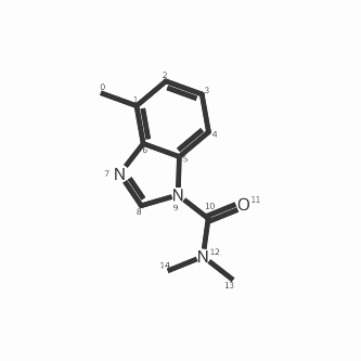 Cc1cccc2c1n[c]n2C(=O)N(C)C